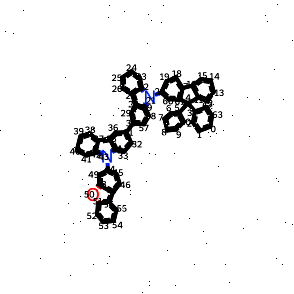 c1ccc(C2(c3ccccc3)c3ccccc3-c3ccc(-n4c5ccccc5c5cc(-c6ccc7c(c6)c6ccccc6n7-c6ccc7c(c6)oc6ccccc67)ccc54)cc32)cc1